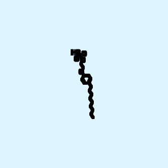 CCCCCCCCCc1ccc(OCCOS(=O)(=O)O)cc1